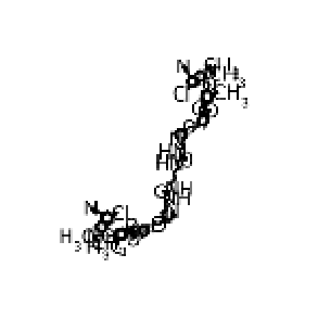 Cc1cc(S(=O)(=O)N2CC[C@@H](COc3ccnc(CNC(=O)NCCCCNC(=O)NCc4cc(OC[C@@H]5CCN(S(=O)(=O)c6ccc(O[C@H]7c8cc(Cl)cc(C#N)c8C[C@@H]7N(C)C)c(C)c6)C5)ccn4)c3)C2)ccc1O[C@H]1c2cc(Cl)cc(C#N)c2C[C@@H]1N(C)C